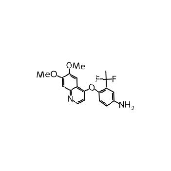 COc1cc2nccc(Oc3ccc(N)cc3C(C)(F)F)c2cc1OC